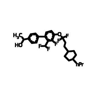 CCCC1CCC(CCC(F)(F)Oc2ccc(-c3ccc(C(C)O)cc3)c(C(F)F)c2F)CC1